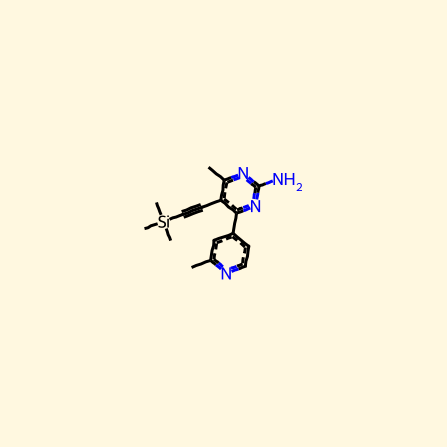 Cc1cc(-c2nc(N)nc(C)c2C#C[Si](C)(C)C)ccn1